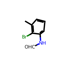 Cc1cccc(NC=O)c1Br